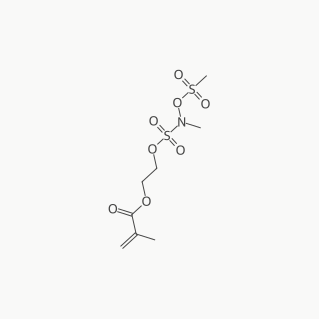 C=C(C)C(=O)OCCOS(=O)(=O)N(C)OS(C)(=O)=O